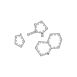 O=c1[nH]cco1.c1ccc2ncccc2c1.c1ccsc1